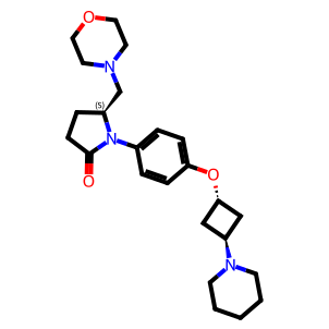 O=C1CC[C@@H](CN2CCOCC2)N1c1ccc(O[C@H]2C[C@H](N3CCCCC3)C2)cc1